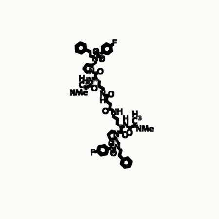 CN[C@@H](C)C(=O)N[C@@H](CCCNC(=O)CCC(=O)NCCC[C@H](NC(=O)[C@H](C)NC)C(=O)N1CCC[C@H]1CN(CCc1ccccc1)S(=O)(=O)c1ccc(F)cc1)C(=O)N1CCC[C@H]1CN(CCc1ccccc1)S(=O)(=O)c1ccc(F)cc1